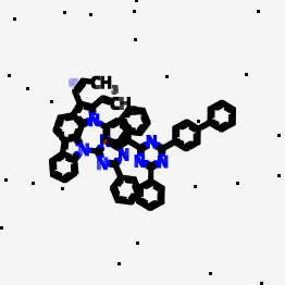 C=Cc1c(/C=C\C)c2ccc3c4ccccc4n(-c4nc(-c5ccccc5)nc(-c5ccccc5)n4)c3c2n1-c1ccc(-c2nc(-c3ccccc3)nc(-c3ccc(-c4ccccc4)cc3)n2)cc1